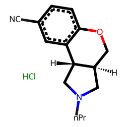 CCCN1C[C@@H]2COc3ccc(C#N)cc3[C@H]2C1.Cl